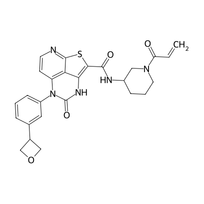 C=CC(=O)N1CCCC(NC(=O)c2sc3nccc4c3c2NC(=O)N4c2cccc(C3COC3)c2)C1